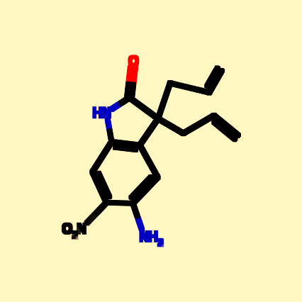 C=CCC1(CC=C)C(=O)Nc2cc([N+](=O)[O-])c(N)cc21